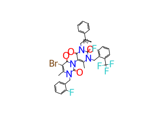 Cc1c(-n2c(=O)c(Br)c(C)n(Cc3ccccc3F)c2=O)c(=O)n(C[C@H](C)c2ccccc2)c(=O)n1Cc1c(F)cccc1C(F)(F)F